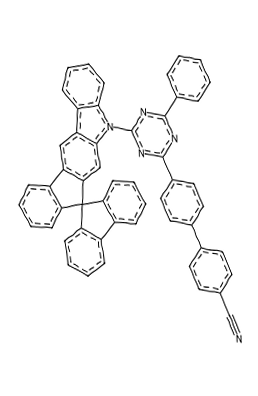 N#Cc1ccc(-c2ccc(-c3nc(-c4ccccc4)nc(-n4c5ccccc5c5cc6c(cc54)C4(c5ccccc5-c5ccccc54)c4ccccc4-6)n3)cc2)cc1